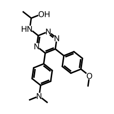 COc1ccc(-c2nnc(NC(C)O)nc2-c2ccc(N(C)C)cc2)cc1